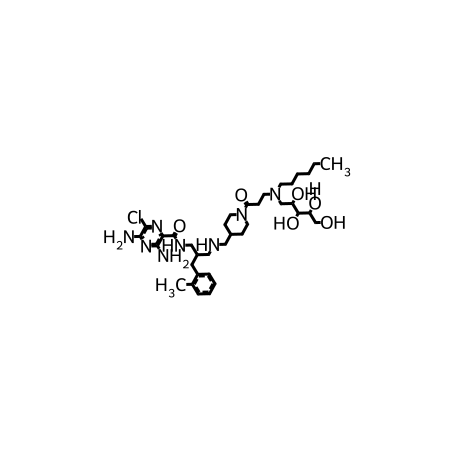 CCCCCCN(CCC(=O)N1CCC(CNCC(CNC(=O)c2nc(Cl)c(N)nc2N)Cc2ccccc2C)CC1)CC(O)C(O)C(O)CO